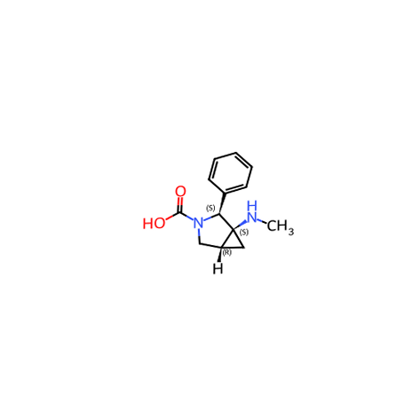 CN[C@@]12C[C@@H]1CN(C(=O)O)[C@H]2c1ccccc1